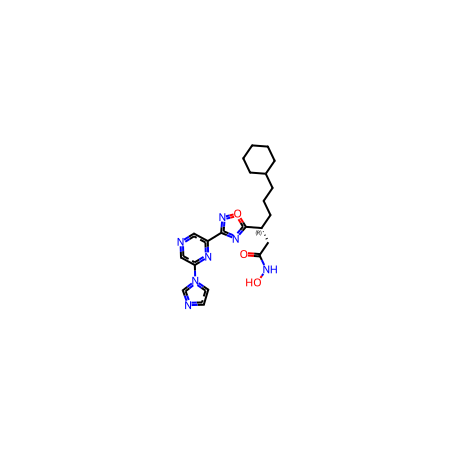 O=C(C[C@@H](CCCC1CCCCC1)c1nc(-c2cncc(-n3ccnc3)n2)no1)NO